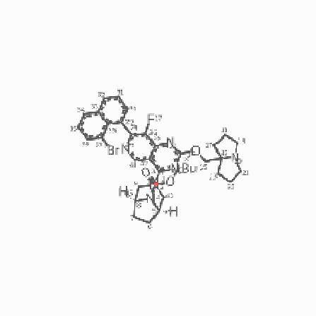 CC(C)(C)OC(=O)N1[C@@H]2CC[C@H]1CN(c1nc(OCC34CCCN3CCC4)nc3c(F)c(-c4cccc5cccc(Br)c45)ncc13)C2